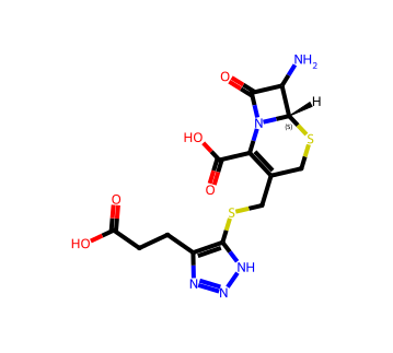 NC1C(=O)N2C(C(=O)O)=C(CSc3[nH]nnc3CCC(=O)O)CS[C@@H]12